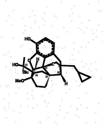 COC12CC[C@@]3(C[C@@H]1[C@](C)(O)C(C)(C)C)[C@H]1Cc4ccc(O)c5c4[C@@]3(CCN1CC1CC1)C2O5